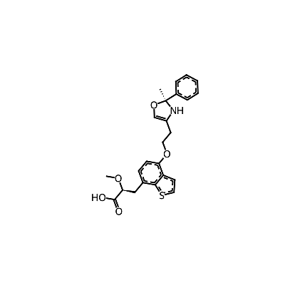 CO[C@@H](Cc1ccc(OCCC2=CO[C@@](C)(c3ccccc3)N2)c2ccsc12)C(=O)O